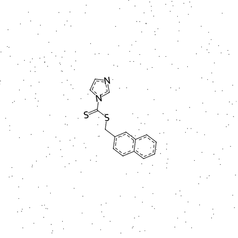 S=C(SCc1ccc2ccccc2c1)n1ccnc1